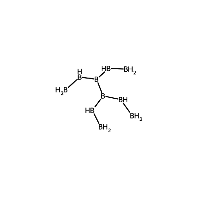 BBB(BB)B(BB)BB